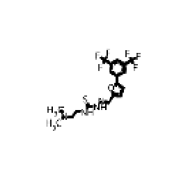 CN(C)CCNC(=S)NN=Cc1ccc(-c2cc(C(F)(F)F)cc(C(F)(F)F)c2)o1